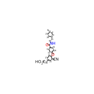 Cc1ccc(CCNC(=O)c2ccc(Oc3ccc(CC(=O)O)cc3C#N)cc2)cc1